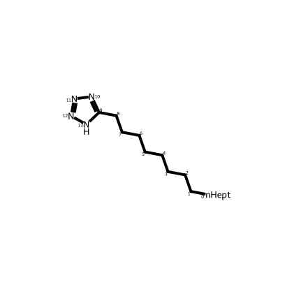 CCCCCCCCCCCCCCCc1nnn[nH]1